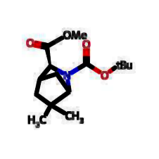 COC(=O)[C@@H]1C2CC(N1C(=O)OC(C)(C)C)C(C)(C)C2